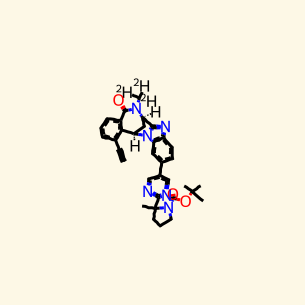 [2H]C([2H])([2H])N1C(=O)c2cccc(C#C)c2[C@H]2C[C@@H]1c1nc3ccc(-c4cnc(C5(C)CCCN5C(=O)OC(C)(C)C)nc4)cc3n12